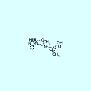 COCCc1nc2c(N)nc3ccccc3c2n1CCCN=NCc1ccc(OC)c(OCC(=O)O)c1